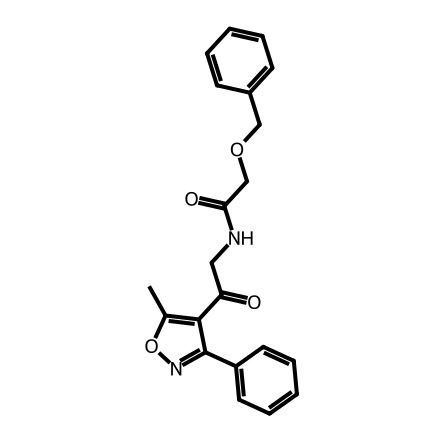 Cc1onc(-c2ccccc2)c1C(=O)CNC(=O)COCc1ccccc1